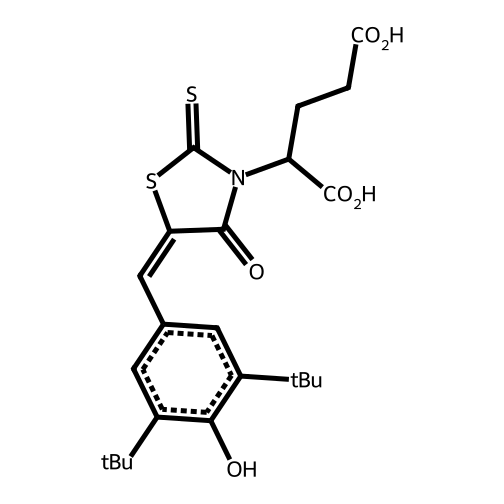 CC(C)(C)c1cc(C=C2SC(=S)N(C(CCC(=O)O)C(=O)O)C2=O)cc(C(C)(C)C)c1O